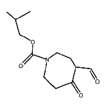 CC(C)COC(=O)N1CCC(=O)C(C=O)CC1